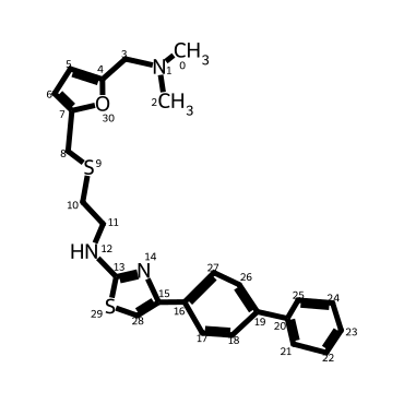 CN(C)Cc1ccc(CSCCNc2nc(-c3ccc(-c4ccccc4)cc3)cs2)o1